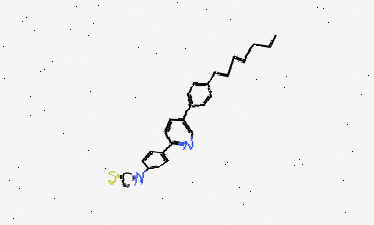 CCCCCCCc1ccc(-c2ccc(-c3ccc(N=C=S)cc3)nc2)cc1